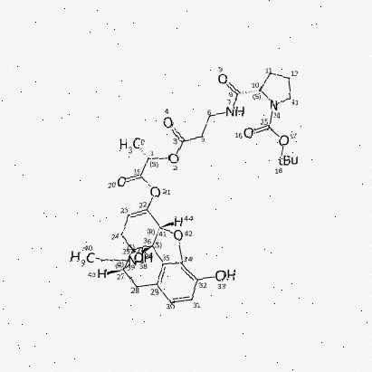 C[C@H](OC(=O)CCNC(=O)[C@@H]1CCCN1C(=O)OC(C)(C)C)C(=O)OC1=CC[C@@]2(O)[C@H]3Cc4ccc(O)c5c4[C@@]2(CCN3C)[C@H]1O5